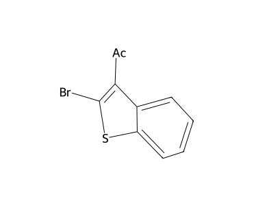 CC(=O)c1c(Br)sc2ccccc12